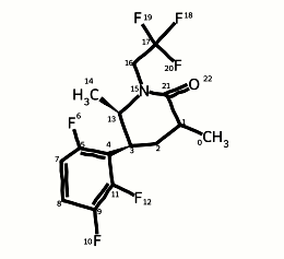 CC1C[C@@H](c2c(F)ccc(F)c2F)[C@@H](C)N(CC(F)(F)F)C1=O